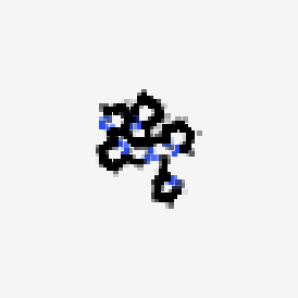 c1ccc(CN(Cc2ccccn2)C(Cc2cccnc2)(c2ccccn2)c2ccccn2)nc1